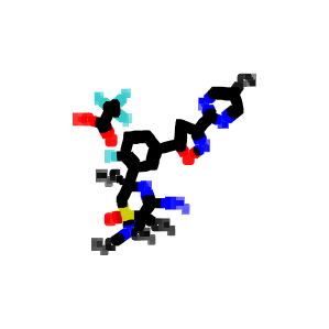 CN=S1(=O)C[C@@](C)(c2cc(-c3cc(-c4ncc(C#N)cn4)no3)ccc2F)N=C(N)C1(C)C.O=C(O)C(F)(F)F